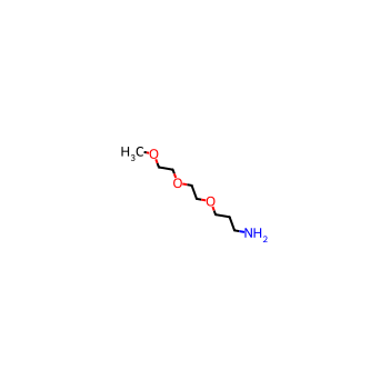 COCCOCCOCCCN